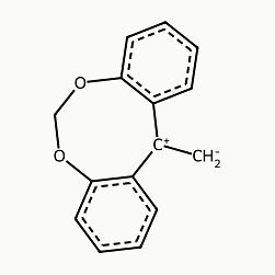 [CH2-][C+]1c2ccccc2OCOc2ccccc21